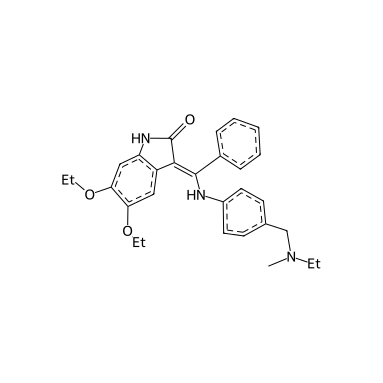 CCOc1cc2c(cc1OCC)C(=C(Nc1ccc(CN(C)CC)cc1)c1ccccc1)C(=O)N2